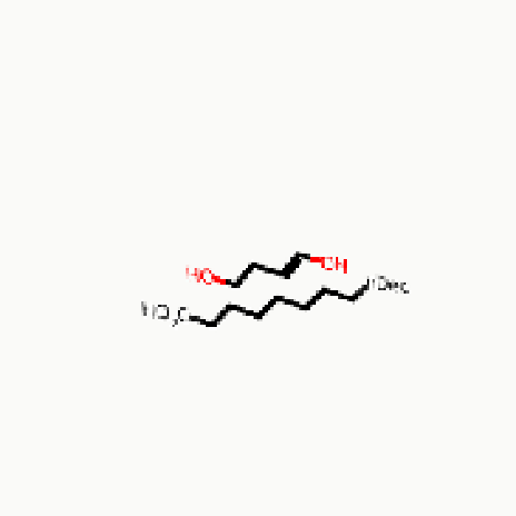 CCCCCCCCCCCCCCCCCC(=O)O.OC=CCCO